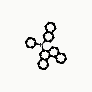 c1ccc(N(c2ccc3ccccc3c2)c2cc3ccccc3c3c2ccc2ccccc23)cc1